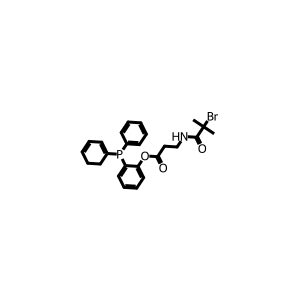 CC(C)(Br)C(=O)NCCC(=O)Oc1ccccc1P(C1=CC=CCC1)c1ccccc1